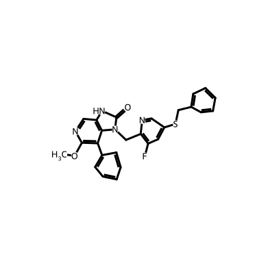 COc1ncc2[nH]c(=O)n(Cc3ncc(SCc4ccccc4)cc3F)c2c1-c1ccccc1